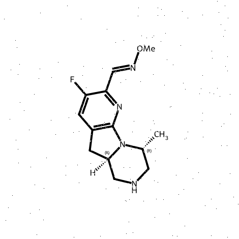 CON=Cc1nc2c(cc1F)C[C@@H]1CNC[C@@H](C)N21